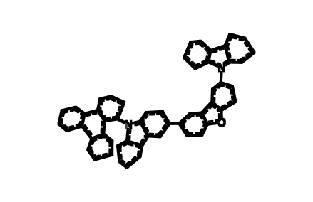 c1ccc2c(c1)c1ccccc1c1c(-n3c4ccccc4c4cc(-c5ccc6oc7ccc(-n8c9ccccc9c9ccccc98)cc7c6c5)ccc43)cccc21